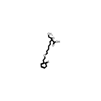 CCC1OC1(CCCCCCOCCC1=CC=CCC1=S)C(=O)O